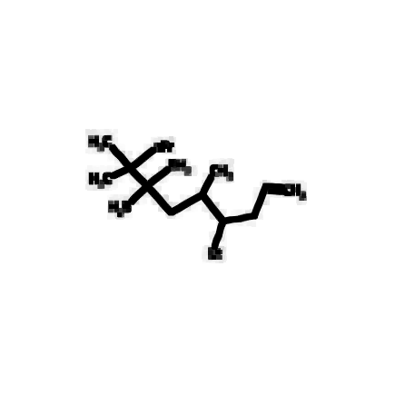 BC(B)(CC(C)C(CC)CC=C)C(C)(C)CCC